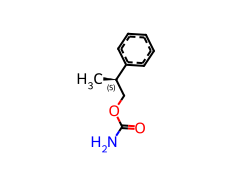 C[C@H](COC(N)=O)c1ccccc1